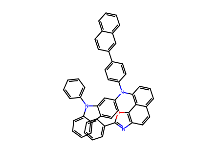 c1ccc(-c2nc3ccc4cccc(N(c5ccc(-c6ccc7ccccc7c6)cc5)c5ccc6c7ccccc7n(-c7ccccc7)c6c5)c4c3o2)cc1